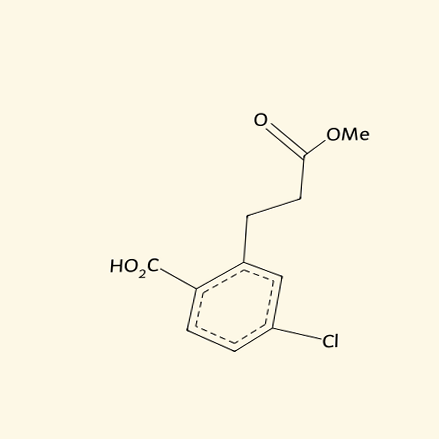 COC(=O)CCc1cc(Cl)ccc1C(=O)O